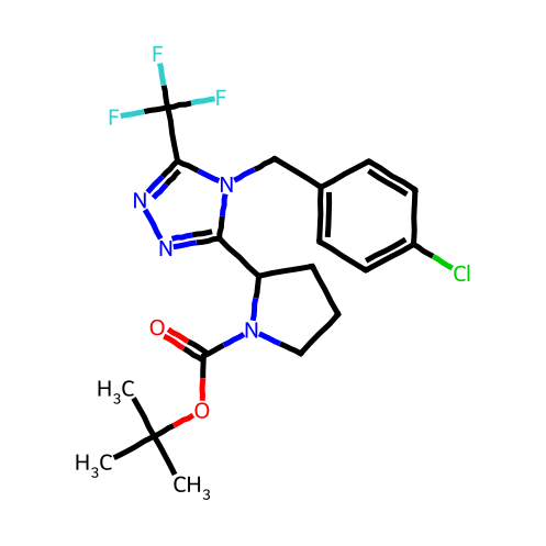 CC(C)(C)OC(=O)N1CCCC1c1nnc(C(F)(F)F)n1Cc1ccc(Cl)cc1